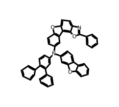 c1ccc(-c2nc3ccc4oc5ccc(N(c6ccc(-c7ccccc7)c(-c7ccccc7)c6)c6ccc7c(c6)oc6ccccc67)cc5c4c3o2)cc1